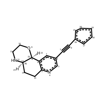 C(#Cc1cnc2c(c1)[C@@H]1OCCN[C@@H]1CC2)c1ccccc1